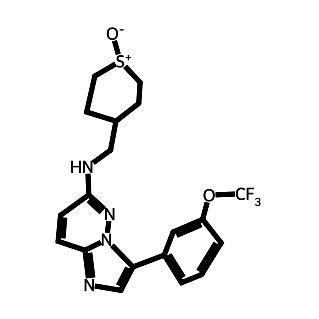 [O-][S+]1CCC(CNc2ccc3ncc(-c4cccc(OC(F)(F)F)c4)n3n2)CC1